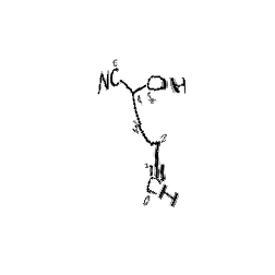 C#CC[CH]C(O)C#N